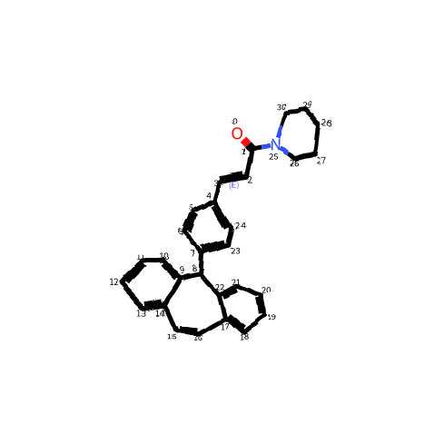 O=C(/C=C/c1ccc(C2c3ccccc3C=Cc3ccccc32)cc1)N1CCCCC1